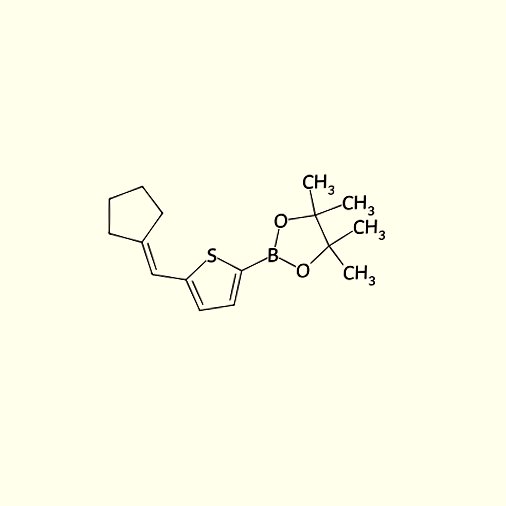 CC1(C)OB(c2ccc(C=C3CCCC3)s2)OC1(C)C